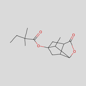 CCC(C)(C)C(=O)OC12CC3C(=O)OC(C3C1)C2C